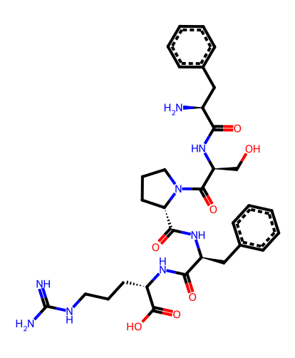 N=C(N)NCCC[C@H](NC(=O)[C@H](Cc1ccccc1)NC(=O)[C@@H]1CCCN1C(=O)[C@H](CO)NC(=O)[C@@H](N)Cc1ccccc1)C(=O)O